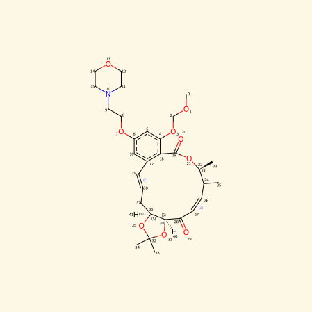 COCOc1cc(OCCN2CCOCC2)cc2c1C(=O)O[C@@H](C)C(C)/C=C\C(=O)[C@H]1OC(C)(C)O[C@H]1C/C=C/2